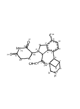 O=CC(=O)C1c2c(C3C4CNCC3C4)ccc(F)c2CN1C1CCC(=O)NC1=O